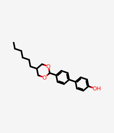 CCCCCCC1COC(c2ccc(-c3ccc(O)cc3)cc2)OC1